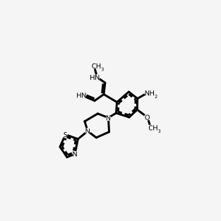 CN/C=C(\C=N)c1cc(N)c(OC)cc1N1CCN(c2nccs2)CC1